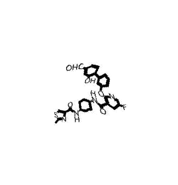 Cc1nc(C(=O)N[C@H]2CC[C@H](NC(=O)c3cc(F)cnc3Oc3cccc(-c4ccc(C=O)cc4O)c3)CC2)cs1